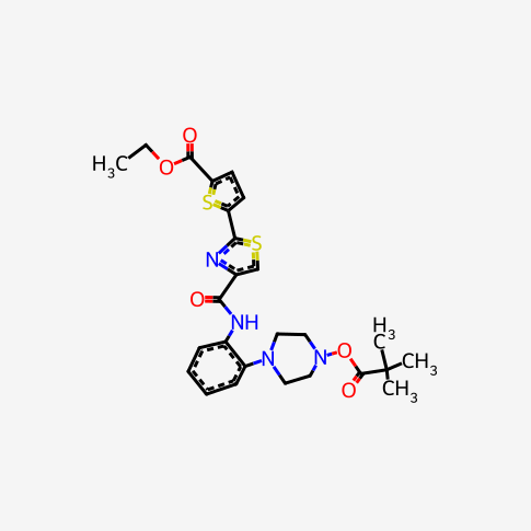 CCOC(=O)c1ccc(-c2nc(C(=O)Nc3ccccc3N3CCN(OC(=O)C(C)(C)C)CC3)cs2)s1